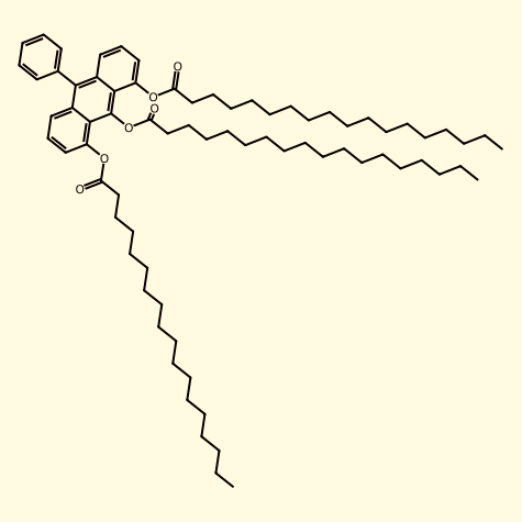 CCCCCCCCCCCCCCCCCC(=O)Oc1cccc2c(-c3ccccc3)c3cccc(OC(=O)CCCCCCCCCCCCCCCCC)c3c(OC(=O)CCCCCCCCCCCCCCCCC)c12